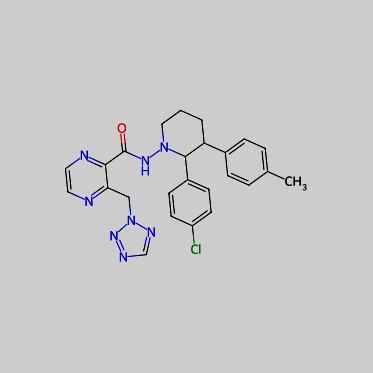 Cc1ccc(C2CCCN(NC(=O)c3nccnc3Cn3ncnn3)C2c2ccc(Cl)cc2)cc1